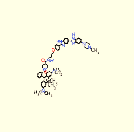 CN1CCN(c2ccc3[nH]c(-c4ccc5[nH]c(-c6ccc(OCCCCNC(=O)C7CCN(C(=O)c8ccccc8C8=C9C=CC(=[N+](C)C)C=C9[Si](C)(C)c9cc(N(C)C)ccc98)CC7)cc6)nc5c4)nc3c2)CC1